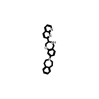 c1ccc2c(c1)CCN(c1ccc3c(c1)OCC(c1ccc4cccnc4n1)NC3)CC2